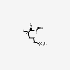 CCOC(=O)CCCN(C)C(=O)OC(C)(C)C